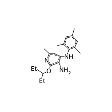 CCC(CC)Oc1nc(C)cc(Nc2c(C)cc(C)cc2C)c1N